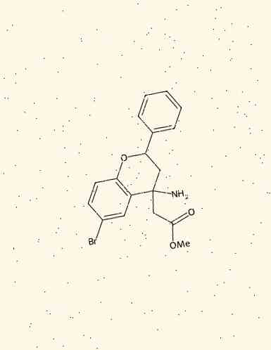 COC(=O)CC1(N)CC(c2ccccc2)Oc2ccc(Br)cc21